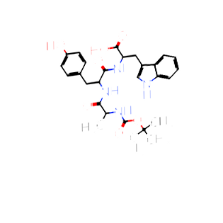 CC(NC(=O)OC(C)(C)C)C(=O)NC(Cc1ccc(O)cc1)C(=O)NC(Cc1c[nH]c2ccccc12)C(=O)O